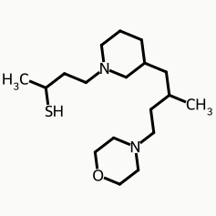 CC(S)CCN1CCCC(CC(C)CCN2CCOCC2)C1